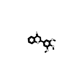 COc1cc(C2CC(=S)c3ccccc3O2)cc(OC)c1OC